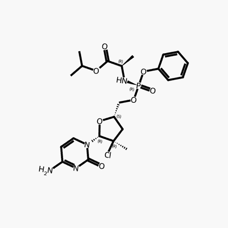 CC(C)OC(=O)[C@@H](C)N[P@@](=O)(OC[C@@H]1C[C@@](C)(Cl)[C@H](n2ccc(N)nc2=O)O1)Oc1ccccc1